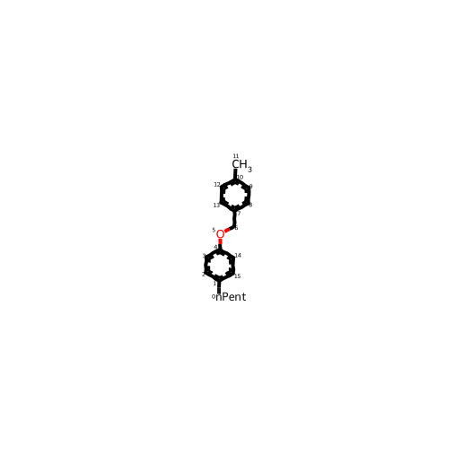 CCCCCc1ccc(OCc2ccc(C)cc2)cc1